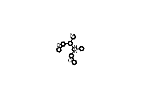 c1ccc(-c2nc(-c3cc(-c4cccnc4)cc(-c4ccc5oc6ccccc6c5c4)c3)cc(-c3ccc4oc5ccccc5c4c3)n2)cc1